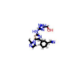 Cc1nccn1-c1sc(Nc2n[nH]c(CO)n2)nc1-c1cccc(C#N)c1